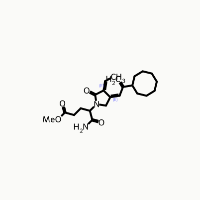 C=C(/C=C1/CN(C(CCC(=O)OC)C(N)=O)C(=O)/C1=C/C)C1CCCCCCC1